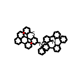 c1ccc(-c2cccc(-c3ccccc3)c2-n2c3ccccc3c3ccc(N(c4ccccc4)c4ccc5c(c4)Sc4ccccc4C54c5ccccc5-c5cccc6cccc4c56)cc32)cc1